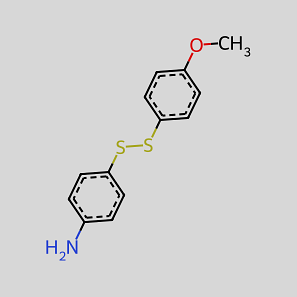 COc1ccc(SSc2ccc(N)cc2)cc1